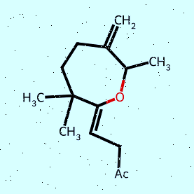 C=C1CCC(C)(C)/C(=C/CC(C)=O)O[C]1C